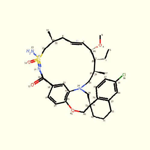 CC[C@H]1[C@@H](OC)/C=C/C[C@H](C)CS(N)(=O)=NC(=O)c2ccc3c(c2)N(C[C@@H]1C)C[C@@]1(CCCc2cc(Cl)ccc21)CO3